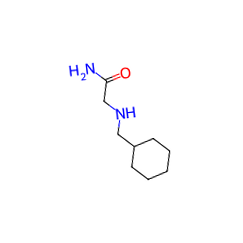 NC(=O)CNCC1CCCCC1